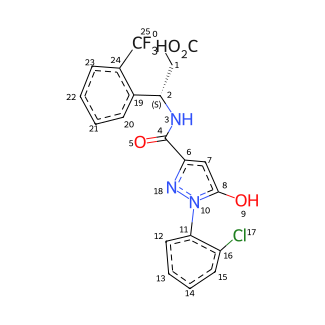 O=C(O)C[C@H](NC(=O)c1cc(O)n(-c2ccccc2Cl)n1)c1ccccc1C(F)(F)F